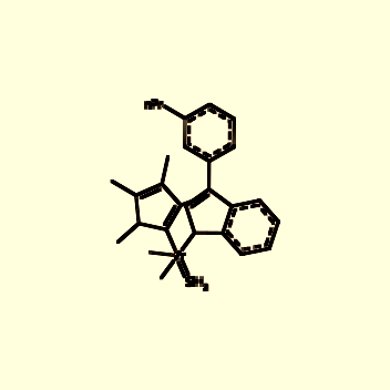 CCCc1cccc(C2=C[CH]([Zr]([CH3])([CH3])(=[SiH2])[C]3=C(C)C(C)=C(C)C3C)c3ccccc32)c1